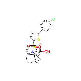 O=C(O)[C@@]12C[C@]1(c1ccccc1)CCCN2S(=O)(=O)c1ccc(-c2ccc(Cl)cc2)s1